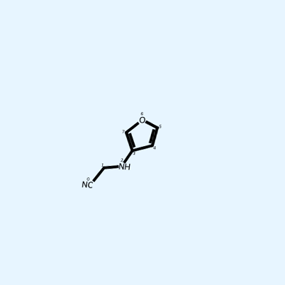 N#CCNc1ccoc1